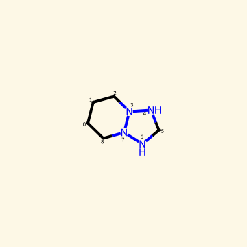 C1CCN2NCNN2C1